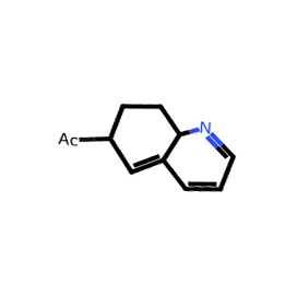 CC(=O)C1C=C2C=CC=NC2CC1